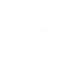 O=CCCCCCCc1ccc([N+](=O)[O-])cc1